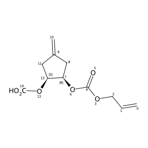 C=CCOC(=O)O[C@@H]1CC(=C)C[C@@H]1OC(=O)O